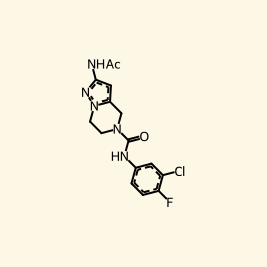 CC(=O)Nc1cc2n(n1)CCN(C(=O)Nc1ccc(F)c(Cl)c1)C2